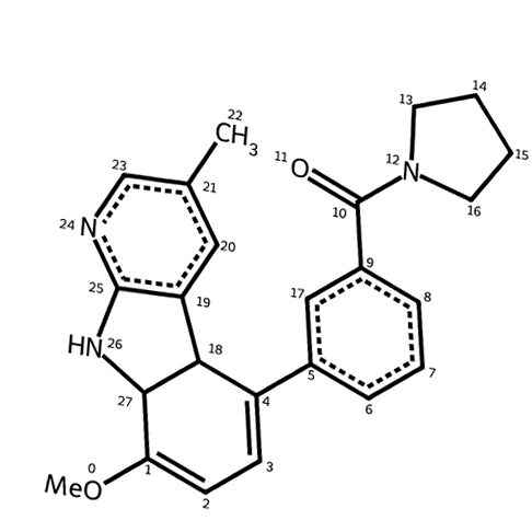 COC1=CC=C(c2cccc(C(=O)N3CCCC3)c2)C2c3cc(C)cnc3NC12